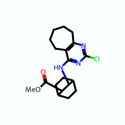 COC(=O)C1C2CCC(CC2)C1Nc1nc(Cl)nc2c1CCCCC2